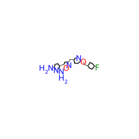 Nc1ccc(-c2cc(Cc3ccc(OCc4ccc(F)cc4)nc3)no2)c(N)n1